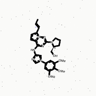 C/C=C/c1ccc2c(Nc3cn(-c4cc(OC)c(OC)c(OC)c4)cn3)nc(N3CCC[C@H]3CO)nn12